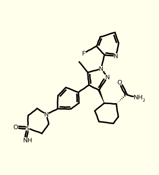 Cc1c(-c2ccc(N3CCS(=N)(=O)CC3)cc2)c([C@@H]2CCCC[C@H]2C(N)=O)nn1-c1ncccc1F